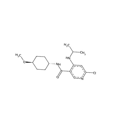 CO[C@H]1CC[C@H](NC(=O)c2cnc(Cl)cc2NC(C)C)CC1